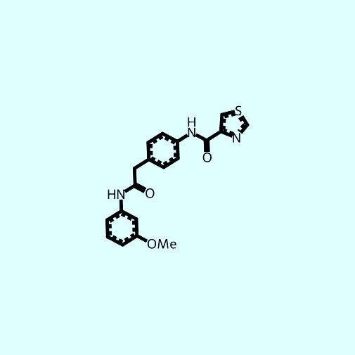 COc1cccc(NC(=O)Cc2ccc(NC(=O)c3cscn3)cc2)c1